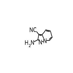 N#Cc1c(N)nn2ccccc12